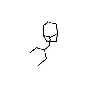 CCC(CC)CN1C2CCC1COC2